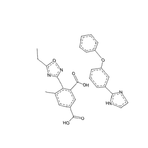 CCc1nc(-c2c(C)cc(C(=O)O)cc2C(=O)O)no1.c1ccc(Oc2cccc(-c3ncc[nH]3)c2)cc1